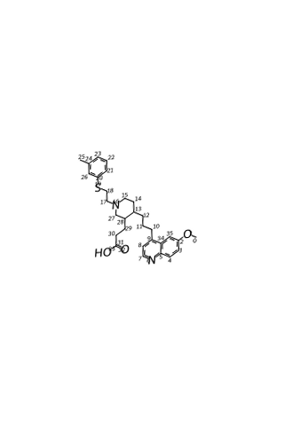 COc1ccc2nccc(CCCC3CCN(CCSc4cccc(C)c4)CC3CCC(=O)O)c2c1